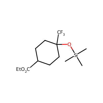 CCOC(=O)C1CCC(O[Si](C)(C)C)(C(F)(F)F)CC1